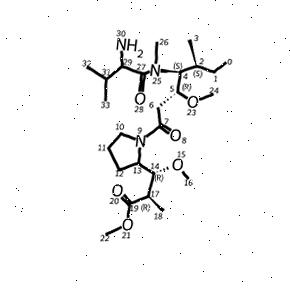 CC[C@H](C)[C@@H]([C@@H](CC(=O)N1CCCC1[C@H](OC)[C@@H](C)C(=O)OC)OC)N(C)C(=O)C(N)C(C)C